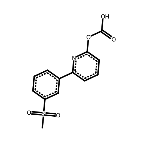 CS(=O)(=O)c1cccc(-c2cccc(OC(=O)O)n2)c1